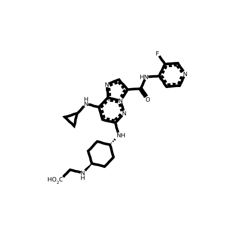 O=C(O)CN[C@H]1CC[C@H](Nc2cc(NC3CC3)c3ncc(C(=O)Nc4ccncc4F)n3n2)CC1